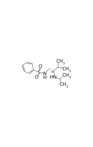 CC(C)N[C@H](CNS(=O)(=O)c1ccccc1)C(C)C